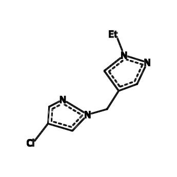 CCn1cc(Cn2cc(Cl)cn2)cn1